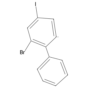 Brc1cc(I)c[c]c1-c1ccccc1